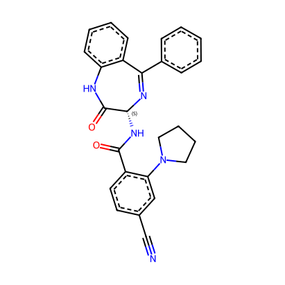 N#Cc1ccc(C(=O)N[C@H]2N=C(c3ccccc3)c3ccccc3NC2=O)c(N2CCCC2)c1